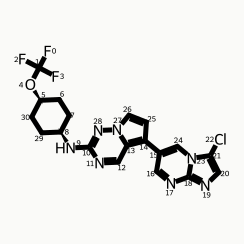 FC(F)(F)O[C@H]1CC[C@@H](Nc2ncc3c(-c4cnc5ncc(Cl)n5c4)ccn3n2)CC1